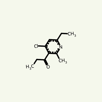 CCC(=O)c1c(Cl)cc(CC)nc1C